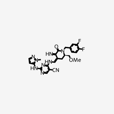 COC[C@H]1C/C(=C/Nc2nc(Nc3ccnn3C)ncc2C#N)C(=N)C(=O)N1Cc1ccc(F)c(F)c1